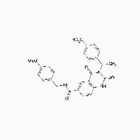 COc1ccc(CNC(=O)c2ccc3[nH]c(=O)n(C(C)c4ccc(C(=O)O)cc4)c(=O)c3c2)cc1